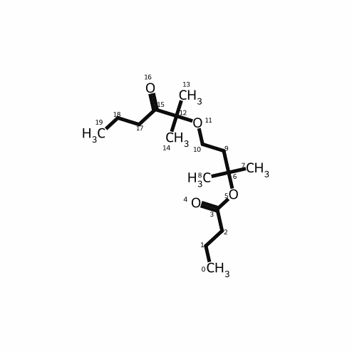 CCCC(=O)OC(C)(C)CCOC(C)(C)C(=O)CCC